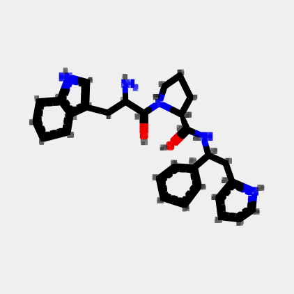 NC(Cc1c[nH]c2ccccc12)C(=O)N1CCC[C@H]1C(=O)NC(Cc1ccccn1)c1ccccc1